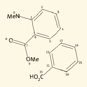 CNc1ccccc1C(=O)OC.O=C(O)c1ccccc1